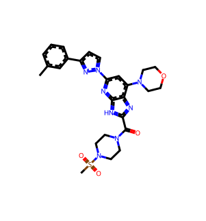 Cc1cccc(-c2ccn(-c3cc(N4CCOCC4)c4nc(C(=O)N5CCN(S(C)(=O)=O)CC5)[nH]c4n3)n2)c1